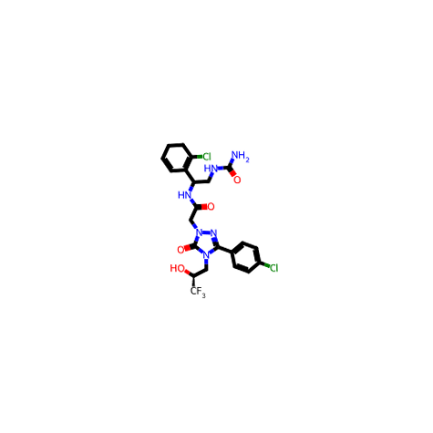 NC(=O)NCC(NC(=O)Cn1nc(-c2ccc(Cl)cc2)n(C[C@H](O)C(F)(F)F)c1=O)C1=C(Cl)CCC=C1